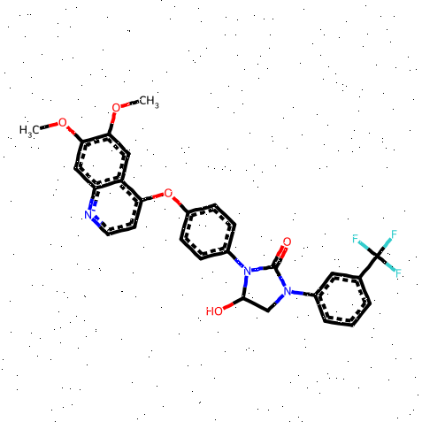 COc1cc2nccc(Oc3ccc(N4C(=O)N(c5cccc(C(F)(F)F)c5)CC4O)cc3)c2cc1OC